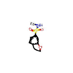 CCNS(=O)(=O)c1ccc2c(c1)OCC2